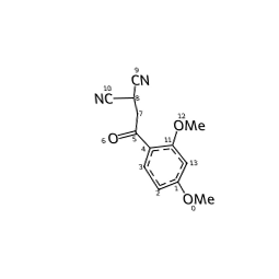 COc1ccc(C(=O)CC(C#N)C#N)c(OC)c1